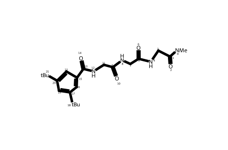 CNC(=O)CNC(=O)CNC(=O)CNC(=O)c1cc(C(C)(C)C)cc(C(C)(C)C)c1